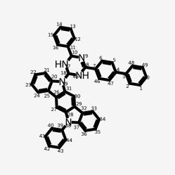 c1ccc(-c2ccc(C3=NC(c4ccccc4)NC(n4c5ccccc5c5cc6c(cc54)c4ccccc4n6-c4ccccc4)N3)cc2)cc1